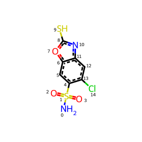 NS(=O)(=O)c1cc2oc(S)nc2cc1Cl